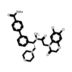 CNC(=O)c1ccc(-c2cccc([C@@H](CN3CCOCC3)N(C)C(=O)CN3C(=O)COc4cc(Cl)c(Cl)cc43)c2)cc1